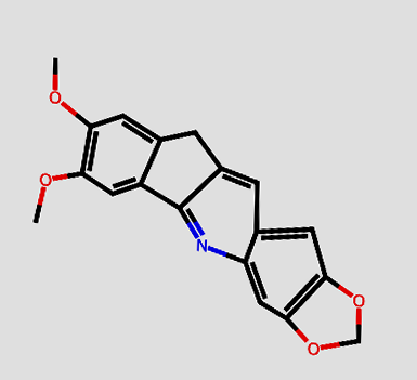 COc1cc2c(cc1OC)-c1nc3cc4c(cc3cc1C2)OCO4